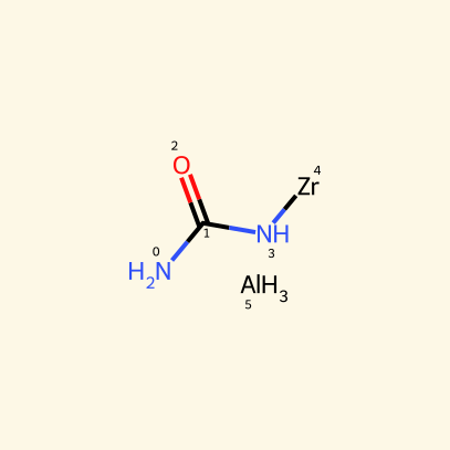 NC(=O)[NH][Zr].[AlH3]